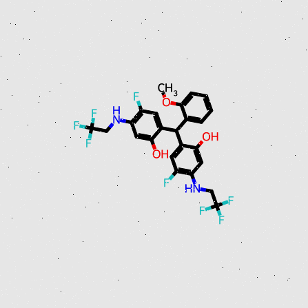 COc1ccccc1C(c1cc(F)c(NCC(F)(F)F)cc1O)c1cc(F)c(NCC(F)(F)F)cc1O